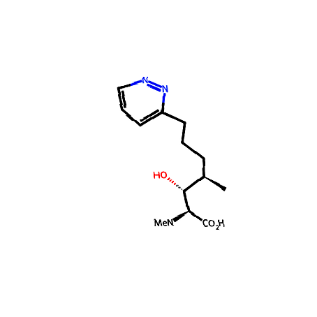 CN[C@H](C(=O)O)[C@H](O)[C@H](C)CCCc1cccnn1